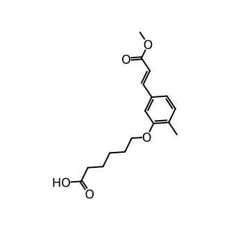 COC(=O)/C=C/c1ccc(C)c(OCCCCCC(=O)O)c1